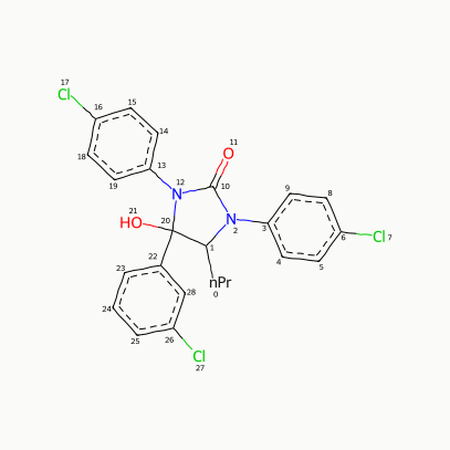 CCCC1N(c2ccc(Cl)cc2)C(=O)N(c2ccc(Cl)cc2)C1(O)c1cccc(Cl)c1